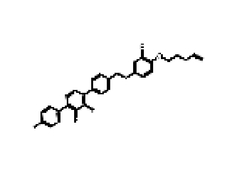 C=CCCCOc1ccc(CCc2ccc(-c3ccc(-c4ccc(C)cc4)c(F)c3F)cc2)cc1F